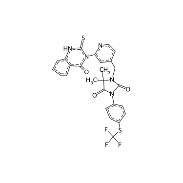 CC1(C)C(=O)N(c2ccc(SC(F)(F)F)cc2)C(=O)N1Cc1ccnc(-n2c(=S)[nH]c3ccccc3c2=O)c1